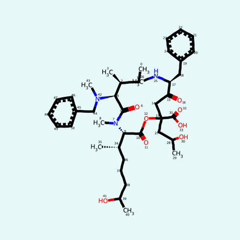 CC[C@H](C)[C@@H](C(=O)N(C)[C@H](C(=O)OC(CC(=O)[C@H](Cc1ccccc1)NC)(CC(C)O)C(=O)O)[C@@H](C)CCCC(C)O)N(C)Cc1ccccc1